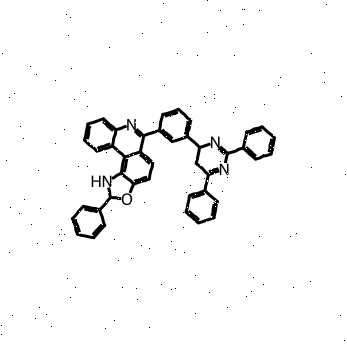 c1ccc(C2=NC(c3ccccc3)=NC(c3cccc(-c4nc5ccccc5c5c6c(ccc45)OC(c4ccccc4)N6)c3)C2)cc1